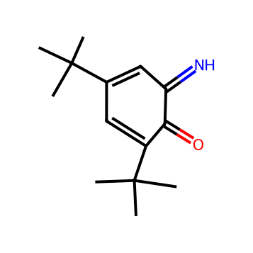 CC(C)(C)C1=CC(=N)C(=O)C(C(C)(C)C)=C1